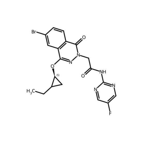 CCC1C[C@@H]1Oc1nn(CC(=O)Nc2ncc(F)cn2)c(=O)c2ccc(Br)cc12